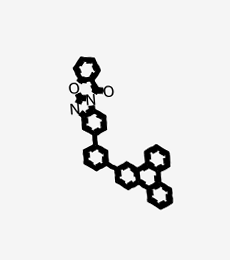 O=c1c2ccccc2oc2nc3cc(-c4cccc(-c5ccc6c7ccccc7c7ccccc7c6c5)c4)ccc3n12